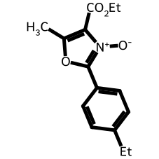 CCOC(=O)c1c(C)oc(-c2ccc(CC)cc2)[n+]1[O-]